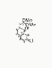 COC(CC1CCc2ccc(Cl)cc2C1=O)OC